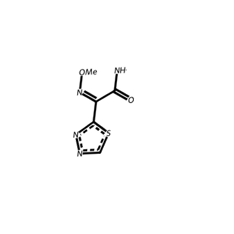 CON=C(C([NH])=O)c1nncs1